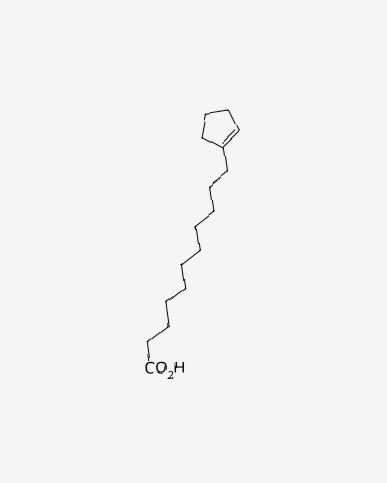 O=C(O)CCCCCCCCCCC1=CCCC1